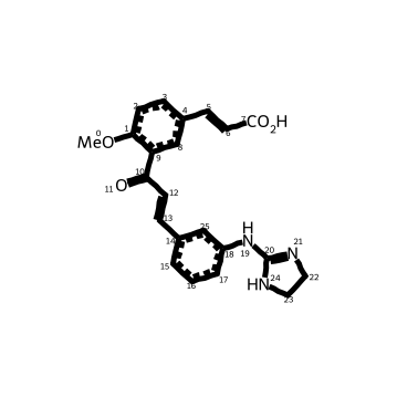 COc1ccc(C=CC(=O)O)cc1C(=O)C=Cc1cccc(NC2=NCCN2)c1